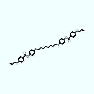 C=CCOc1ccc(C(=O)Oc2ccc(OCCCCCCCCOc3ccc(OC(=O)c4ccc(OCC=C)cc4)cc3)cc2)cc1